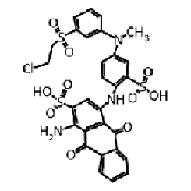 CN(c1cccc(S(=O)(=O)CCCl)c1)c1ccc(Nc2cc(S(=O)(=O)O)c(N)c3c2C(=O)c2ccccc2C3=O)c(S(=O)(=O)O)c1